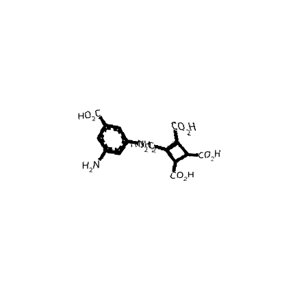 Nc1cc(N)cc(C(=O)O)c1.O=C(O)C1C(C(=O)O)C(C(=O)O)C1C(=O)O